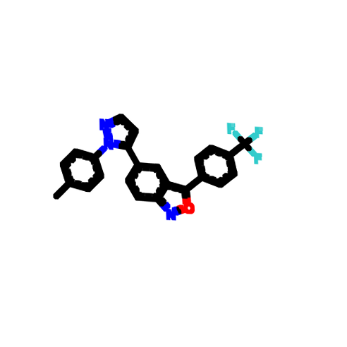 Cc1ccc(-n2nccc2-c2ccc3noc(-c4ccc(C(F)(F)F)cc4)c3c2)cc1